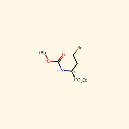 CCOC(=O)[C@H](CCBr)NC(=O)OC(C)(C)C